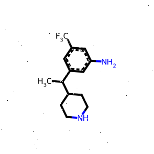 CC(c1cc(N)cc(C(F)(F)F)c1)C1CCNCC1